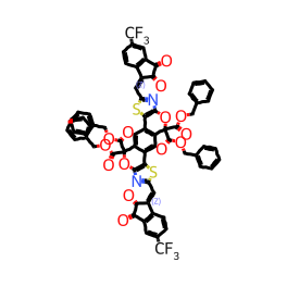 O=C1C(=O)c2cc(C(F)(F)F)ccc2/C1=C/c1nc2c(s1)-c1cc3c(cc1C(C(=O)OCc1ccccc1)(C(=O)OCc1ccccc1)O2)-c1sc(/C=C2\C(=O)C(=O)c4cc(C(F)(F)F)ccc42)nc1OC3(C(=O)OCc1ccccc1)C(=O)OCc1ccccc1